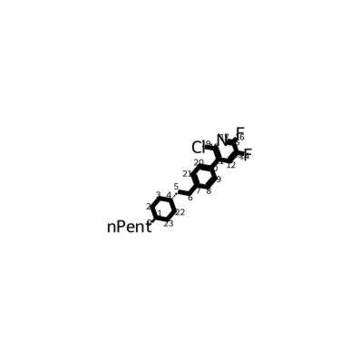 CCCCC[C@H]1CC[C@H](CCc2ccc(-c3cc(F)c(F)nc3Cl)cc2)CC1